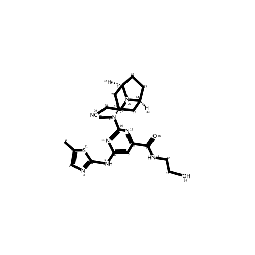 Cc1cnc(Nc2cc(C(=O)NCCO)nc(N(C)[C@@H]3C[C@H]4CC[C@@H](C3)N4CCC#N)n2)s1